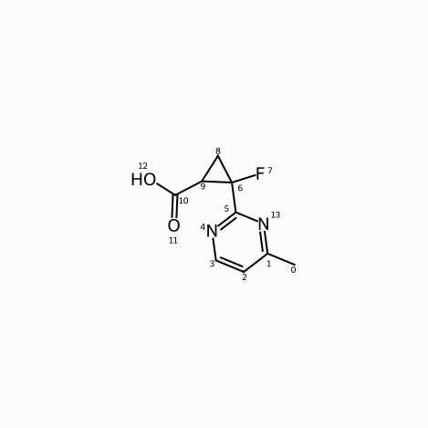 Cc1ccnc(C2(F)CC2C(=O)O)n1